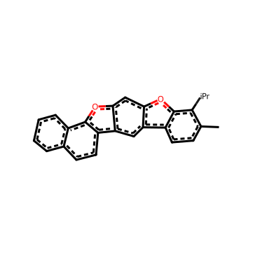 Cc1ccc2c(oc3cc4oc5c6ccccc6ccc5c4cc32)c1C(C)C